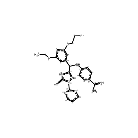 CCOc1cc(OCCF)cc(C(Nc2ccc(C(=N)N)cc2)c2nn(-c3ncccn3)c(=O)[nH]2)c1